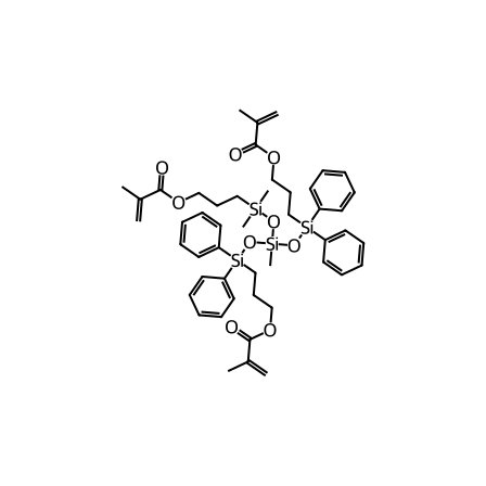 C=C(C)C(=O)OCCC[Si](C)(C)O[Si](C)(O[Si](CCCOC(=O)C(=C)C)(c1ccccc1)c1ccccc1)O[Si](CCCOC(=O)C(=C)C)(c1ccccc1)c1ccccc1